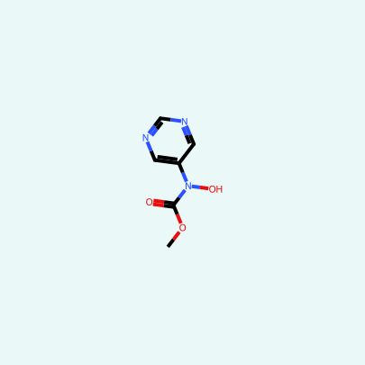 COC(=O)N(O)c1cncnc1